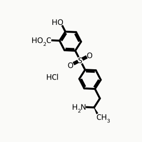 C[C@@H](N)Cc1ccc(S(=O)(=O)c2ccc(O)c(C(=O)O)c2)cc1.Cl